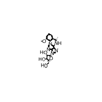 COc1cccc([C@H](C)Nc2ncnc3c2ncn3[C@@H]2O[C@H](CO)C(O)C2O)c1